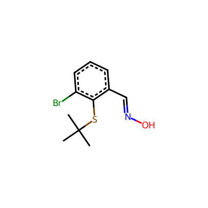 CC(C)(C)Sc1c(Br)cccc1C=NO